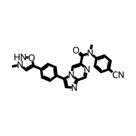 CN1C=C(c2ccc(-c3cnc4cnc(C(=O)N(C)c5ccc(C#N)cc5)cn34)cc2)ON1